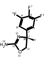 C[C@@]1(c2cc(F)c(F)c(F)c2)COC(N)=N1